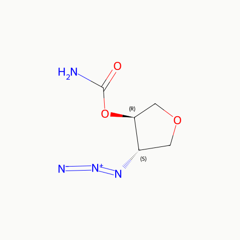 [N-]=[N+]=N[C@H]1COC[C@@H]1OC(N)=O